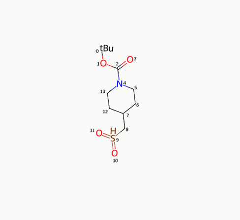 CC(C)(C)OC(=O)N1CCC(C[SH](=O)=O)CC1